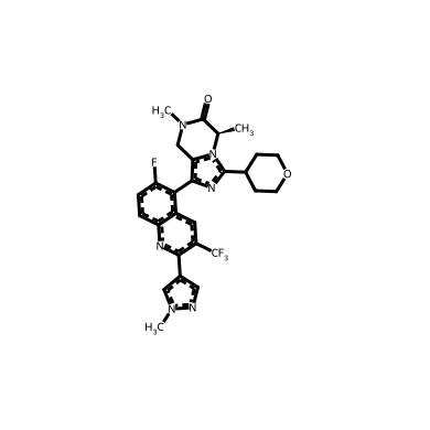 C[C@@H]1C(=O)N(C)Cc2c(-c3c(F)ccc4nc(-c5cnn(C)c5)c(C(F)(F)F)cc34)nc(C3CCOCC3)n21